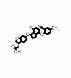 Cc1ccc(Oc2ccc(F)c3c2CC[C@H]3Oc2ccc3c(c2)OC[C@H]3CC(=O)O)c(C#N)c1